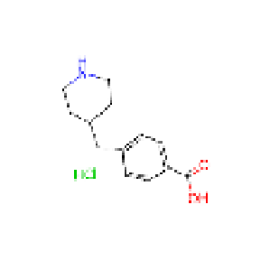 Cl.O=C(O)c1ccc(CC2CCNCC2)cc1